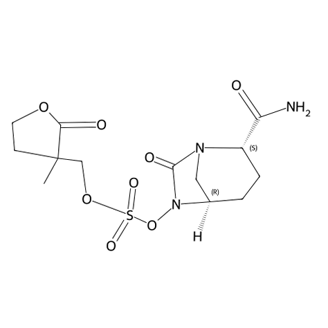 CC1(COS(=O)(=O)ON2C(=O)N3C[C@H]2CC[C@H]3C(N)=O)CCOC1=O